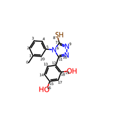 Cc1cccc(-n2c(S)nnc2-c2ccc(O)cc2O)c1